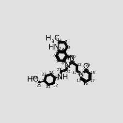 C[C@H]1CCc2c(ccc3c2nc(CCn2ccccc2=O)n3CCN[C@H]2CC[C@H](CO)CC2)N1